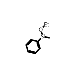 CCO[Si](C)c1ccccc1